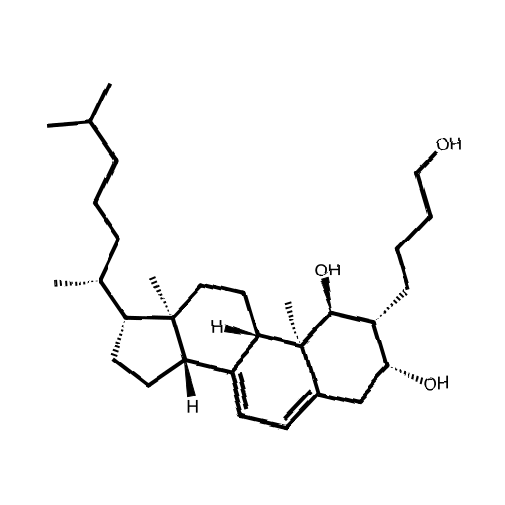 CC(C)CCC[C@@H](C)[C@H]1CC[C@H]2C3=CC=C4C[C@@H](O)[C@@H](CCCCO)[C@H](O)[C@]4(C)[C@H]3CC[C@]12C